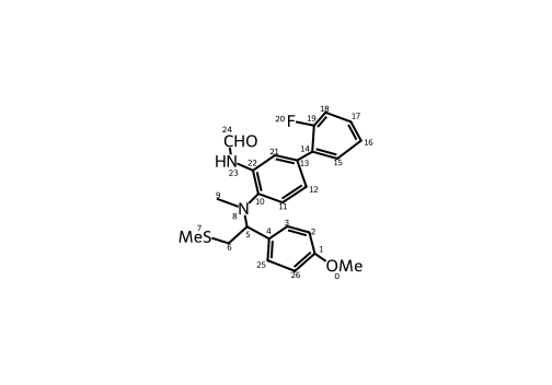 COc1ccc(C(CSC)N(C)c2ccc(-c3ccccc3F)cc2NC=O)cc1